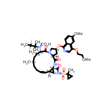 COCCOc1cnc(O[C@@H]2C[C@H]3C(=O)N[C@]4(C(=O)NS(=O)(=O)C5(C)CC5)C[C@H]4/C=C\CC[C@H](C)C[C@@H](C)[C@H](N(C(=O)O)C(C)(C)C(C)(F)F)C(=O)N3C2)c2ccc(OC)cc12